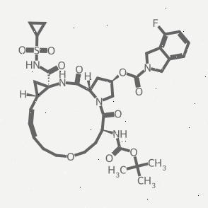 CC(C)(C)OC(=O)N[C@H]1CCOCCC=C=C[C@@H]2C[C@@]2(C(=O)NS(=O)(=O)C2CC2)NC(=O)[C@@H]2C[C@@H](OC(=O)N3Cc4cccc(F)c4C3)CN2C1=O